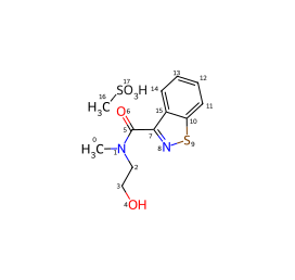 CN(CCO)C(=O)c1nsc2ccccc12.CS(=O)(=O)O